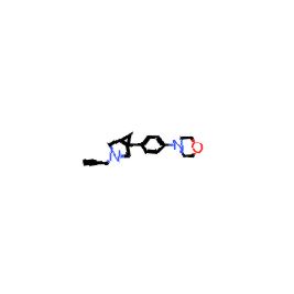 C#CCN1CC2CC2(c2ccc(N3CCOCC3)cc2)C1